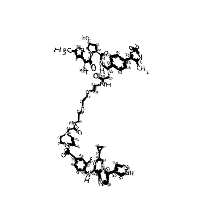 Cc1cc([C@H](C(=O)N2C[C@H](O)C[C@H]2C(=O)N[C@@H](CC(=O)NCCOCCOCCNC(=O)CN2CCN(C(=O)c3ccc(Nc4nc(C5CC5)cn5c(-c6cn[nH]c6)cnc45)c(F)c3)CC2)c2ccc(-c3scnc3C)cc2)C(C)C)on1